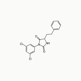 O=C1NC(CCc2ccccc2)C(=O)N1c1cc(Cl)cc(Cl)c1